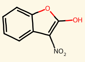 O=[N+]([O-])c1c(O)oc2ccccc12